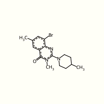 Cc1cc(Br)c2nc(N3CCC(C)CC3)n(C)c(=O)c2c1